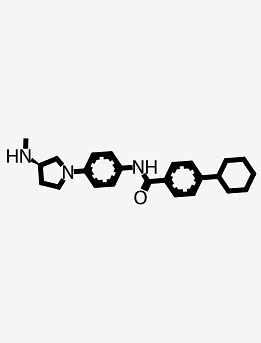 CN[C@@H]1CCN(c2ccc(NC(=O)c3ccc(C4CCCCC4)cc3)cc2)C1